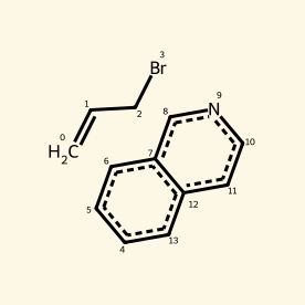 C=CCBr.c1ccc2cnccc2c1